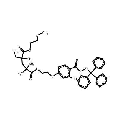 CCC(C)(CC(C)(C)C(=O)OCCOc1ccc(C(=O)NOC(c2ccccc2)(c2ccccc2)c2ccccc2)c(O)c1)C(=O)OCCOC